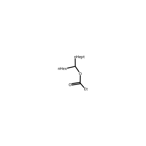 CCCCCCCC(CCCCCC)OC(=O)CC